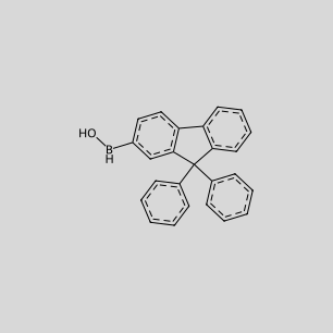 OBc1ccc2c(c1)C(c1ccccc1)(c1ccccc1)c1ccccc1-2